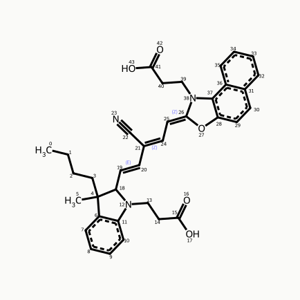 CCCCC1(C)c2ccccc2N(CCC(=O)O)C1/C=C/C(C#N)=C/C=C1\Oc2ccc3ccccc3c2N1CCC(=O)O